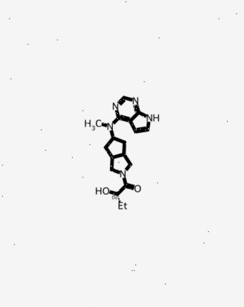 CC[C@H](O)C(=O)N1CC2CC(N(C)c3ncnc4[nH]ccc34)CC2C1